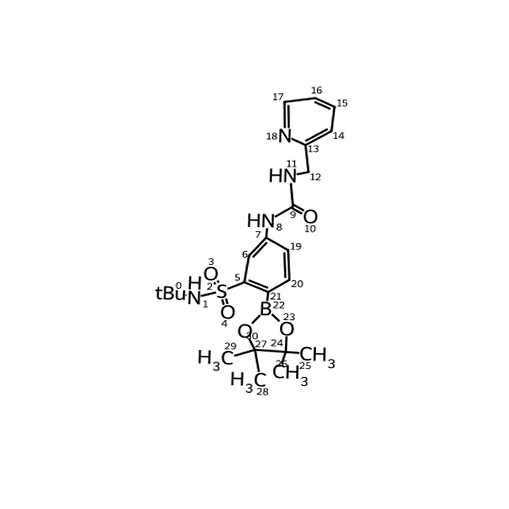 CC(C)(C)NS(=O)(=O)c1cc(NC(=O)NCc2ccccn2)ccc1B1OC(C)(C)C(C)(C)O1